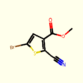 COC(=O)c1cc(Br)sc1C#N